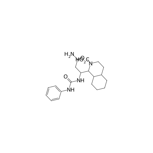 NC(=O)CC(NC(=O)Nc1ccccc1)C1C2CCCCC2CCN1C(=O)O